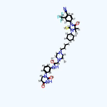 C[C@@H]1CN(CCCC[C@H]2CC[C@H](N3C(=S)N(c4ccc(C#N)c(C(F)(F)F)c4)C(=O)C3(C)C)CC2)C[C@H](C)N1CC(=O)Nc1cccc(N2CCC(=O)NC2=O)c1